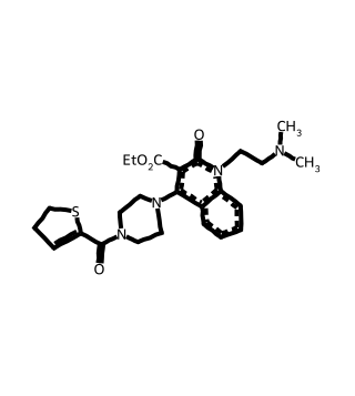 CCOC(=O)c1c(N2CCN(C(=O)C3=CCCS3)CC2)c2ccccc2n(CCN(C)C)c1=O